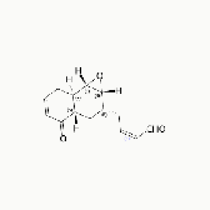 O=C/C=C\C[C@@H]1C[C@@H]2C(=O)C=CC[C@H]2[C@@H]2O[C@H]12